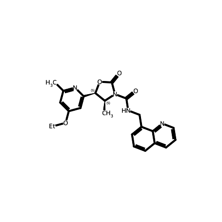 CCOc1cc(C)nc([C@H]2OC(=O)N(C(=O)NCc3cccc4cccnc34)[C@H]2C)c1